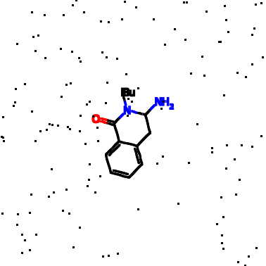 CCC(C)N1C(=O)c2ccccc2CC1N